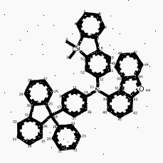 C[Si]1(C)c2ccccc2-c2ccc(N(c3ccc(C4(c5ccccc5)c5ccccc5-c5ccccc54)cc3)c3cccc4oc5ccccc5c34)cc21